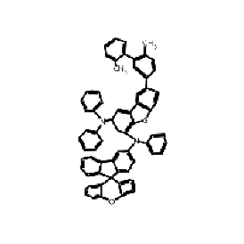 Cc1ccccc1-c1cc(-c2ccc3sc4c(c3c2)=CC(N(c2ccccc2)c2ccccc2)CC=4N(c2ccccc2)c2ccc3c(c2)-c2ccccc2C32c3ccccc3Oc3ccccc32)ccc1C